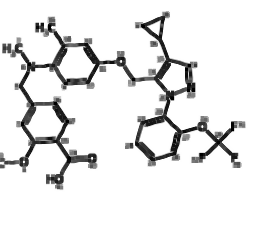 COc1cc(CN(C)c2ccc(OCc3c(C4CC4)cnn3-c3ccccc3OC(F)(F)F)cc2C)ccc1C(=O)O